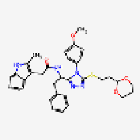 COc1ccc(-n2c(SCCC3OCCCO3)nnc2C(Cc2ccccc2)NC(=O)Cc2c(C)[nH]c3ccccc23)cc1